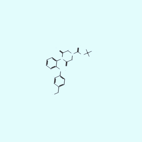 CC(C)(C)OC(=O)N1CC(=O)N(c2ccccc2Sc2ccc(CN)cc2)C(=O)C1